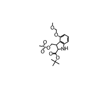 COCOc1cccc2c1C(COS(C)(=O)=O)C(C(=O)OC(C)(C)C)N2